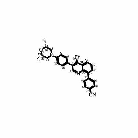 CCc1c(-c2ccc(N3C[C@@H](C)O[C@@H](C)C3)cc2)cnc2c(-c3ccc(C#N)cc3)cccc12